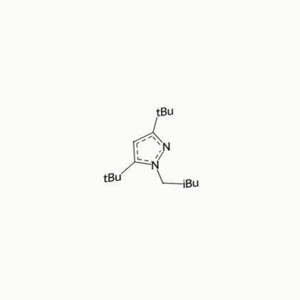 CCC(C)Cn1nc(C(C)(C)C)cc1C(C)(C)C